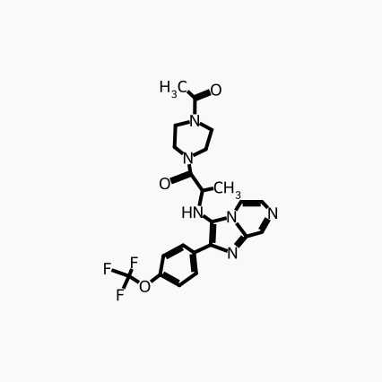 CC(=O)N1CCN(C(=O)C(C)Nc2c(-c3ccc(OC(F)(F)F)cc3)nc3cnccn23)CC1